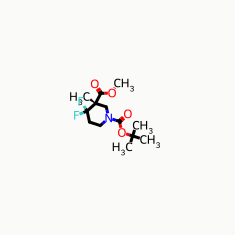 COC(=O)[C@]1(C)CN(C(=O)OC(C)(C)C)CCC1(F)F